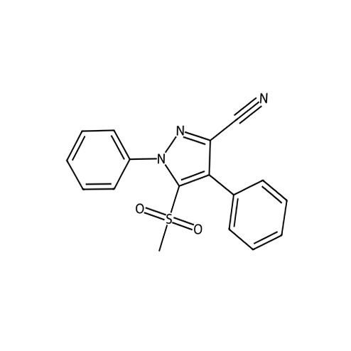 CS(=O)(=O)c1c(-c2ccccc2)c(C#N)nn1-c1ccccc1